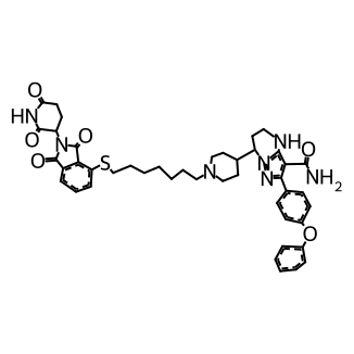 NC(=O)c1c(-c2ccc(Oc3ccccc3)cc2)nn2c1NCCC2C1CCN(CCCCCCCSc2cccc3c2C(=O)N(C2CCC(=O)NC2=O)C3=O)CC1